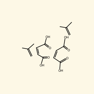 C=C(C)C.C=C(C)C.O=C(O)/C=C\C(=O)O.O=C(O)/C=C\C(=O)O